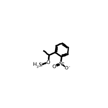 CC(O[SiH3])c1ccccc1[N+](=O)[O-]